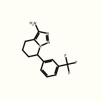 Nc1nnn2c1CCCC2c1cccc(C(F)(F)F)c1